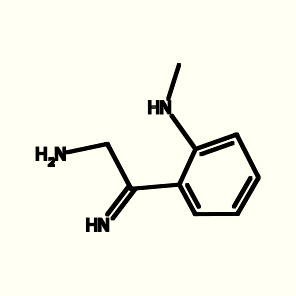 CNc1ccccc1C(=N)CN